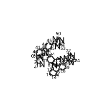 Cc1cc(C)nc(-c2cc(-n3c4ccccc4c4ccc(-c5nc(C)nc(C)n5)cc43)c(C#N)cc2-n2c3ccccc3c3ccc(-c4nc(C)nc(C)n4)cc32)n1